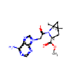 COC(=O)[C@@H]1C[C@H]2C[C@H]2N1C(=O)Cn1cnc2c(N)ncnc21